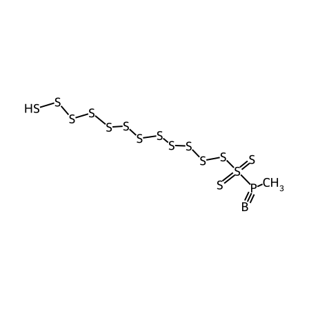 B#P(C)S(=S)(=S)SSSSSSSSSSSS